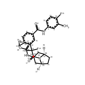 Cc1cc(NC(=O)c2ccc(F)c(C(F)(F)C(=O)N3[C@@H]4CC[C@H]3CC(NC(=O)OC(C)(C)C)C4)c2)ccc1F